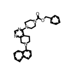 O=C(OCc1ccccc1)N1CCN(c2ncnc3c2CCN(c2cccc4ccccc24)C3)CC1